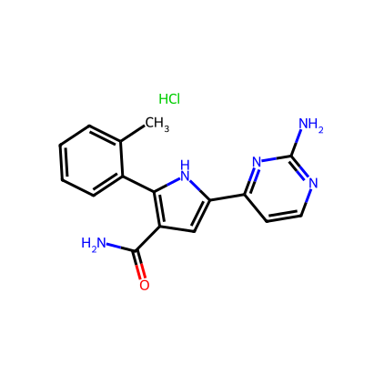 Cc1ccccc1-c1[nH]c(-c2ccnc(N)n2)cc1C(N)=O.Cl